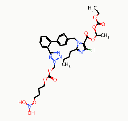 CCCCc1nc(Cl)c(C(=O)OC(C)OC(=O)OCC)n1Cc1ccc(-c2ccccc2-c2nnn(COC(=O)OCCCCON(O)O)n2)cc1